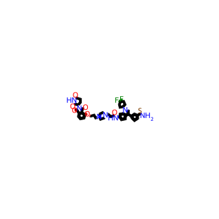 NC(=S)c1cccc(-c2cn(C3CCC(F)(F)CC3)c3cc(NC(=O)CCN4CCN(CCCOc5cccc6c5C(=O)N(C5CCC(=O)NC5=O)C6=O)CC4)ccc23)c1